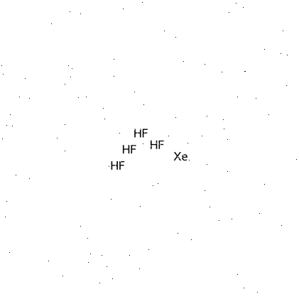 F.F.F.F.[Xe]